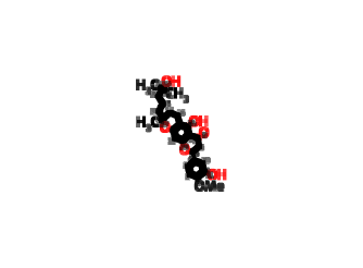 COc1ccc([C@@H]2CC(=O)c3c(cc4c(c3O)CCC(C)(CCCC(C)(C)O)O4)O2)cc1O